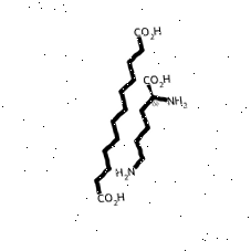 NCCCC[C@H](N)C(=O)O.O=C(O)CCCCCCCCCCC(=O)O